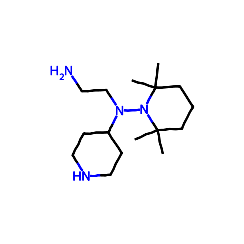 CC1(C)CCCC(C)(C)N1N(CCN)C1CCNCC1